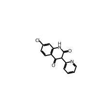 O=C1Nc2cc(Cl)ccc2C(=O)C1c1ccccn1